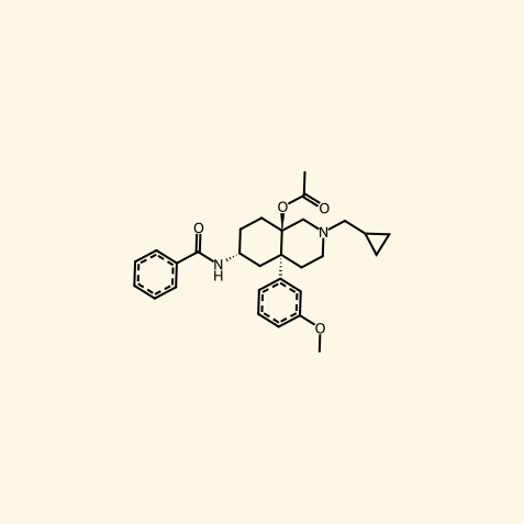 COc1cccc([C@@]23CCN(CC4CC4)C[C@@]2(OC(C)=O)CC[C@@H](NC(=O)c2ccccc2)C3)c1